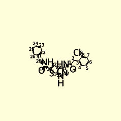 O=C(Cc1ccccc1Cl)Nc1n[nH]c2sc(C(=O)NCc3ccccc3)cc12